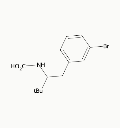 CC(C)(C)C(Cc1cccc(Br)c1)NC(=O)O